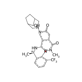 C[C@@H](Nc1nn(C)c(=O)c2cc(=O)n(N3CC4CCC(C3)C4O)cc12)c1cccc(C(F)(F)F)c1F